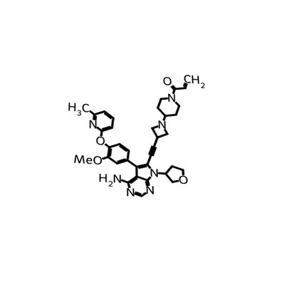 C=CC(=O)N1CCC(N2CC(C#Cc3c(-c4ccc(Oc5cccc(C)n5)c(OC)c4)c4c(N)ncnc4n3C3CCOC3)C2)CC1